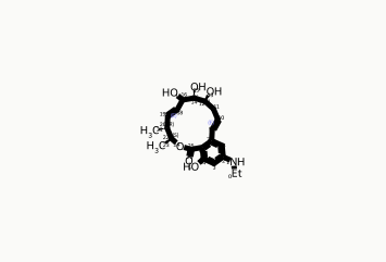 CCNc1cc(O)c2c(c1)/C=C/C[C@H](O)[C@@H](O)C(O)/C=C/[C@@H](C)[C@H](C)OC2=O